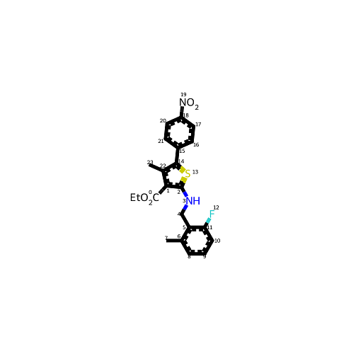 CCOC(=O)c1c(NCc2c(C)cccc2F)sc(-c2ccc([N+](=O)[O-])cc2)c1C